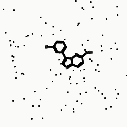 CNc1ccc2ncc(-c3cccc(Cl)c3)n2n1